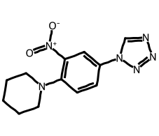 O=[N+]([O-])c1cc(-n2cnnn2)ccc1N1CCCCC1